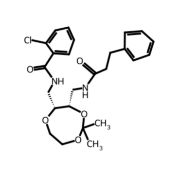 CC1(C)OCCO[C@H](CNC(=O)c2ccccc2Cl)[C@H](CNC(=O)CCc2ccccc2)O1